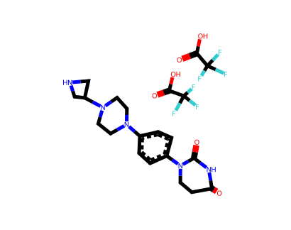 O=C(O)C(F)(F)F.O=C(O)C(F)(F)F.O=C1CCN(c2ccc(N3CCN(C4CNC4)CC3)cc2)C(=O)N1